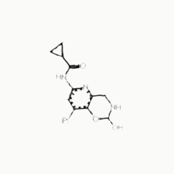 CC(C)c1cc(NC(=O)C2CC2)nc2c1OC(O)NC2